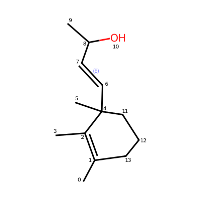 CC1=C(C)C(C)(/C=C/C(C)O)CCC1